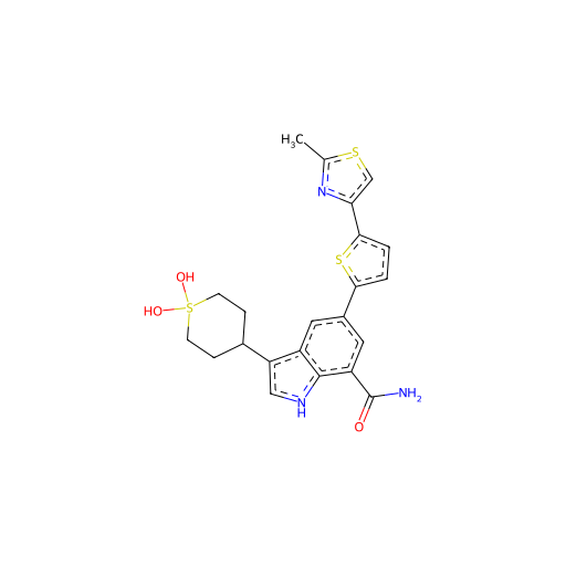 Cc1nc(-c2ccc(-c3cc(C(N)=O)c4[nH]cc(C5CCS(O)(O)CC5)c4c3)s2)cs1